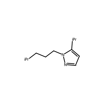 CC(C)CCCn1n[c]cc1C(C)C